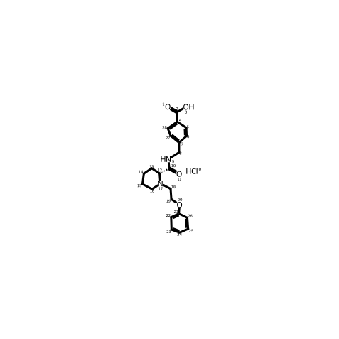 Cl.O=C(O)c1ccc(CNC(=O)[C@H]2CCCCN2CCOc2ccccc2)cc1